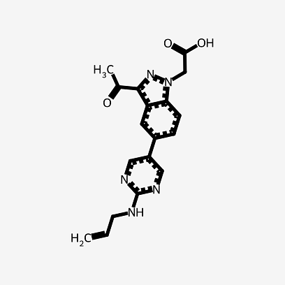 C=CCNc1ncc(-c2ccc3c(c2)c(C(C)=O)nn3CC(=O)O)cn1